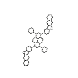 c1ccc(-c2cc(-c3ccc4oc5cc6ccccc6cc5c4c3)c3ccc4c(-c5ccccc5)cc(-c5ccc6oc7cc8ccccc8cc7c6c5)c5ccc2c3c45)cc1